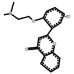 CN(C)CCOc1ccccc1-c1cc(=O)c2ccccc2o1.Cl